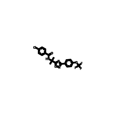 CC(C)(NC(=O)c1ccc(Cl)cc1)c1nc(-c2ccc(OC(F)(F)F)cc2)no1